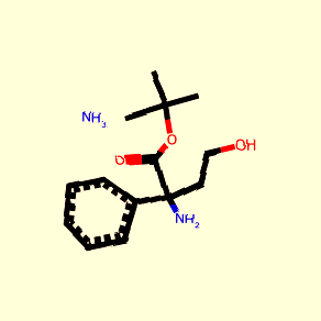 CC(C)(C)OC(=O)C(N)(CCO)c1ccccc1.N